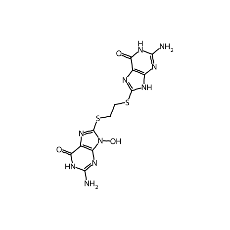 Nc1nc2[nH]c(SCCSc3nc4c(=O)[nH]c(N)nc4n3O)nc2c(=O)[nH]1